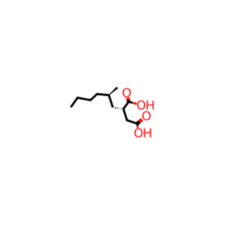 CCCC[C@@H](C)C[C@@H](CC(=O)O)C(=O)O